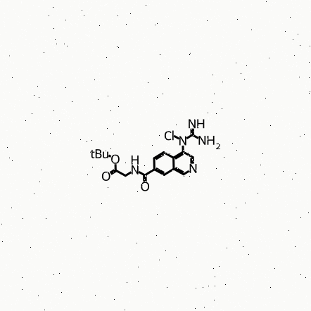 CC(C)(C)OC(=O)CNC(=O)c1ccc2c(N(Cl)C(=N)N)cncc2c1